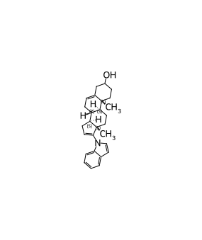 C[C@]12CCC(O)CC1=CC[C@@H]1[C@@H]2CC[C@]2(C)C(n3ccc4ccccc43)=CC[C@@H]12